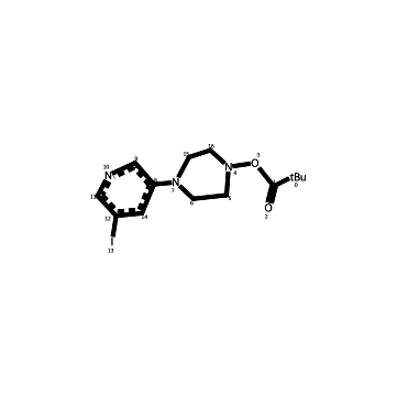 CC(C)(C)C(=O)ON1CCN(c2cncc(I)c2)CC1